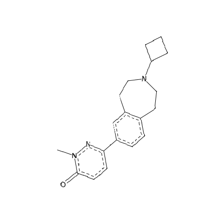 Cn1nc(-c2ccc3c(c2)CCN(C2CCC2)CC3)ccc1=O